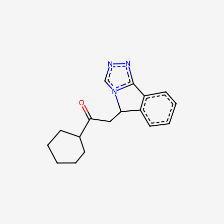 O=C(CC1c2ccccc2-c2nncn21)C1CCCCC1